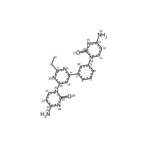 CCc1nc(-c2cccc(-n3ccc(N)nc3=O)c2)cc(-n2ccc(N)nc2=O)n1